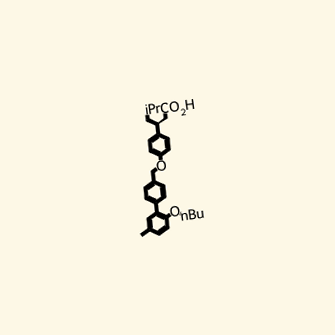 CCCCOc1ccc(C)cc1-c1ccc(COc2ccc([C@H](CC(=O)O)CC(C)C)cc2)cc1